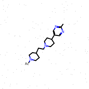 CC(=O)N1CCC(CCN2CCC(c3cnc(C)nc3)CC2)CC1